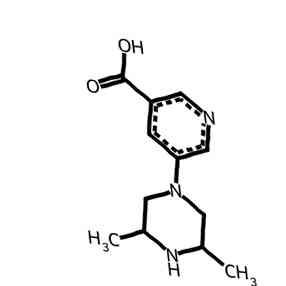 CC1CN(c2cncc(C(=O)O)c2)CC(C)N1